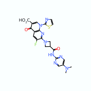 CN(C)c1cnc(NC(=O)C2CN(c3nc4c(cc3F)c(=O)c(C(=O)O)cn4-c3nccs3)C2)nc1